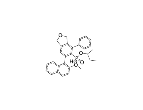 CCC(C)OP(=O)(O)c1c(-c2c(OC)ccc3ccccc23)cc2c(c1-c1ccccc1)COC2